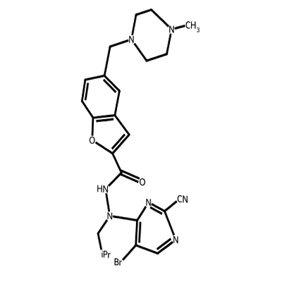 CC(C)CN(NC(=O)c1cc2cc(CN3CCN(C)CC3)ccc2o1)c1nc(C#N)ncc1Br